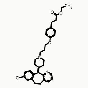 CCOC(=O)CCc1ccc(OCCCN2CCC(=C3c4ccc(Cl)cc4CCc4cccnc43)CC2)cc1